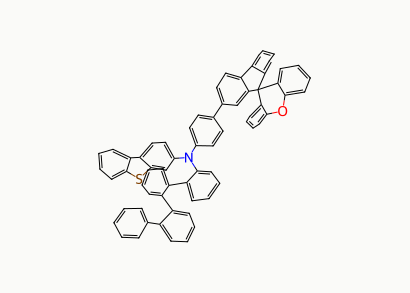 c1ccc(-c2ccccc2-c2ccccc2-c2ccccc2N(c2ccc(-c3ccc4c(c3)C3(c5ccccc5Oc5ccccc53)c3ccccc3-4)cc2)c2ccc3c(c2)sc2ccccc23)cc1